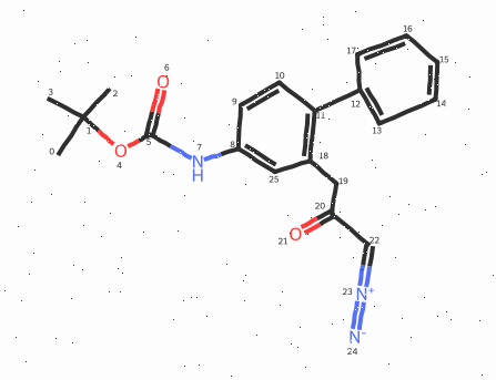 CC(C)(C)OC(=O)Nc1ccc(-c2ccccc2)c(CC(=O)C=[N+]=[N-])c1